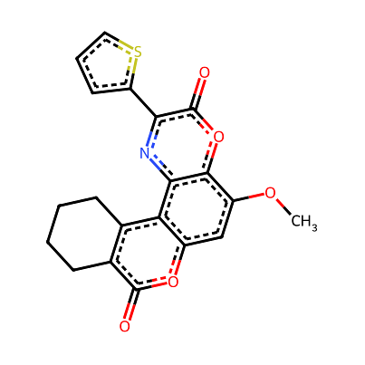 COc1cc2oc(=O)c3c(c2c2nc(-c4cccs4)c(=O)oc12)CCCC3